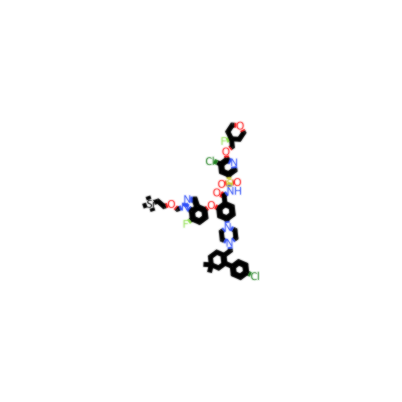 CC1(C)CCC(CN2CCN(c3ccc(C(=O)NS(=O)(=O)c4cnc(OCC5(F)CCOCC5)c(Cl)c4)c(Oc4ccc(F)c5c4cnn5COCC[Si](C)(C)C)c3)CC2)=C(c2ccc(Cl)cc2)C1